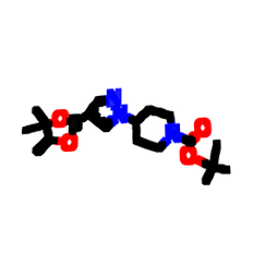 C=C1OB(c2cnn(C3CCN(C(=O)OC(C)(C)C)CC3)c2)OC1(C)C